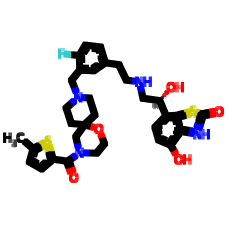 Cc1ccc(C(=O)N2CCOC3(CCN(Cc4cc(CCNC[C@H](O)c5ccc(O)c6[nH]c(=O)sc56)ccc4F)CC3)C2)s1